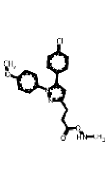 CNOC(=O)CCc1cc(-c2ccc(Cl)cc2)n(-c2ccc(OC)cc2)n1